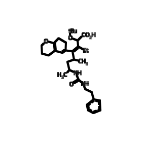 CC/C(=C(/C1=CC2=C(CC1)OCCC2)C(C)CC(C)NC(=O)NCCc1ccccc1)C(OC(C)(C)C)C(=O)O